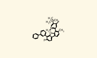 Cc1ccc2c(oc3c(-c4cccc(-c5ccccc5)c4)c(F)ccc32)c1-c1cc(F)c([Si](C)(C)C)c[n+]1C